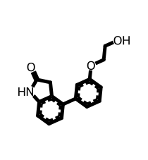 O=C1Cc2c(cccc2-c2cccc(OCCO)c2)N1